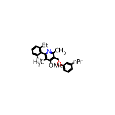 CCCc1cccc(OCc2c(C)nc(-c3c(CC)cccc3CC)c(C)c2OC)c1